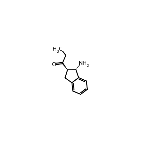 CCC(=O)[C@@H]1Cc2ccccc2[C@H]1N